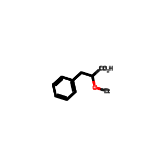 CCOC(Cc1ccccc1)C(=O)O